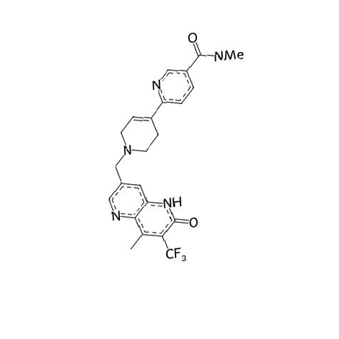 CNC(=O)c1ccc(C2=CCN(Cc3cnc4c(C)c(C(F)(F)F)c(=O)[nH]c4c3)CC2)nc1